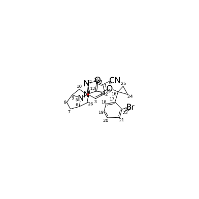 N#Cc1ccc(N2C3CCC2CN(C(=O)COC2(c4ccccc4Br)CC2)C3)nc1